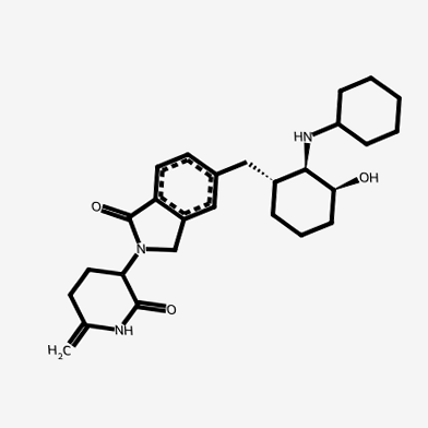 C=C1CCC(N2Cc3cc(C[C@H]4CCC[C@H](O)[C@@H]4NC4CCCCC4)ccc3C2=O)C(=O)N1